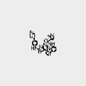 CN1CCN(c2ccc(Nc3ncc4c(=O)n(-c5c(Cl)cccc5Cl)c(NC(=O)c5ccnn5C)nc4n3)cc2)CC1